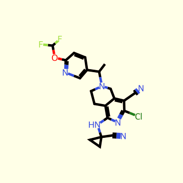 CC(c1ccc(OC(F)F)nc1)N1CCc2c(NC3(C#N)CC3)nc(Cl)c(C#N)c2C1